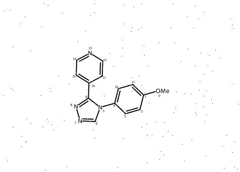 COc1ccc(-n2[c]nnc2-c2ccncc2)cc1